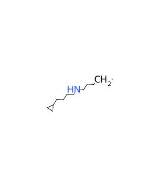 [CH2]CCCNCCCCC1CC1